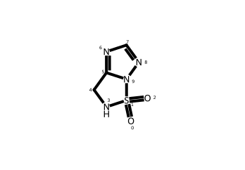 O=S1(=O)NCc2ncnn21